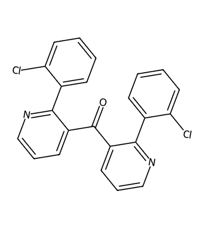 O=C(c1cccnc1-c1ccccc1Cl)c1cccnc1-c1ccccc1Cl